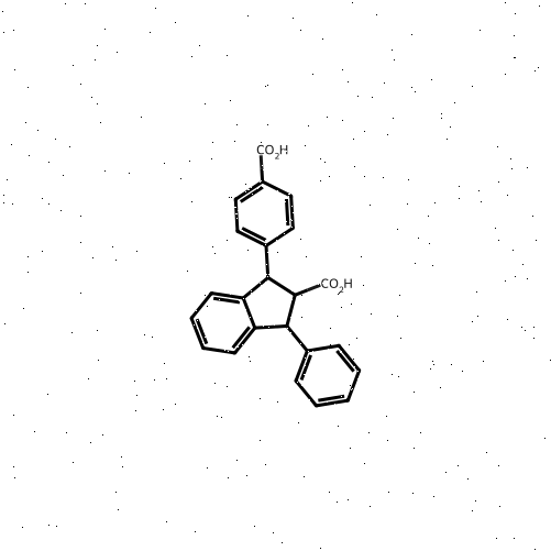 O=C(O)c1ccc(C2c3ccccc3C(c3ccccc3)C2C(=O)O)cc1